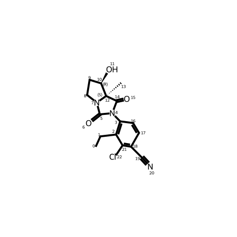 CCc1c(N2C(=O)N3CC[C@@H](O)[C@@]3(C)C2=O)ccc(C#N)c1Cl